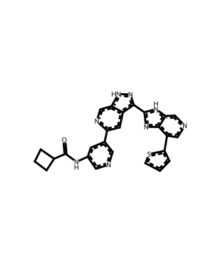 O=C(Nc1cncc(-c2cc3c(-c4nc5c(-c6cccs6)cncc5[nH]4)n[nH]c3cn2)c1)C1CCC1